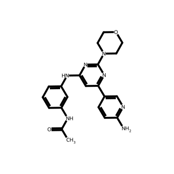 CC(=O)Nc1cccc(Nc2cc(-c3ccc(N)nc3)nc(N3CCOCC3)n2)c1